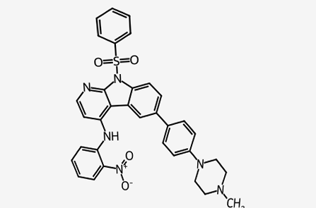 CN1CCN(c2ccc(-c3ccc4c(c3)c3c(Nc5ccccc5[N+](=O)[O-])ccnc3n4S(=O)(=O)c3ccccc3)cc2)CC1